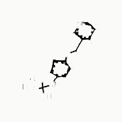 CC(C)(C)Nc1ccc(OCc2cccnc2)cc1